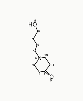 O=C1CCN(CCCCO)CC1